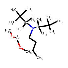 CCCCN([Si](C)(C)C(C)(C)C)[Si](C)(C)C(C)(C)C.CO[SiH2]OC